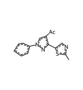 CC(=O)c1cn(-c2ccccc2)nc1-c1cnc(C)s1